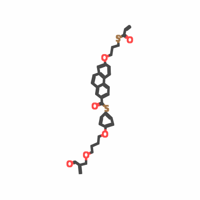 C=CC(=O)SCCCOc1ccc2c(ccc3cc(C(=O)Sc4ccc(OCCCCOCC(=C)C=O)cc4)ccc32)c1